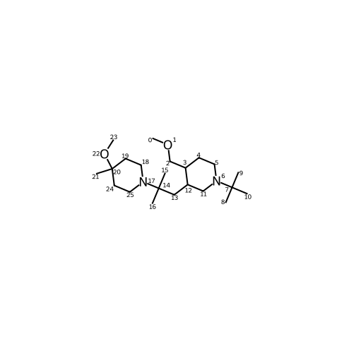 COCC1CCN(C(C)(C)C)CC1CC(C)(C)N1CCC(C)(OC)CC1